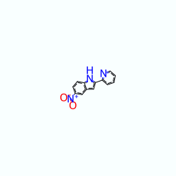 O=[N+]([O-])c1ccc2[nH]c(-c3ccccn3)cc2c1